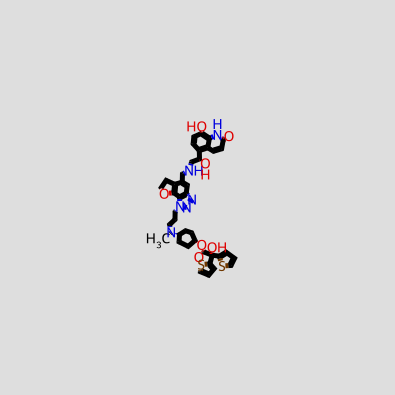 CN(CCCn1nnc2cc(CNC[C@H](O)c3ccc(O)c4[nH]c(=O)ccc34)c3c(c21)OCC3)[C@H]1CC[C@H](OC(=O)C(O)(c2cccs2)c2cccs2)CC1